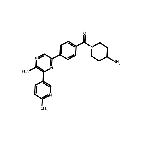 Cc1ccc(-c2nc(-c3ccc(C(=O)N4CCC(N)CC4)cc3)cnc2N)cn1